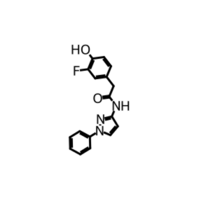 O=C(Cc1ccc(O)c(F)c1)Nc1ccn(-c2ccccc2)n1